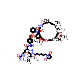 CC(=O)O[C@@H]1[C@H](C)C/C=C/O[C@@]2(C)Oc3c(C)c(O)c4c(=O)c(c5oc6cccc(OCc7ccc(NC(=O)[C@H](CCCNC(N)=O)NC(=O)[C@@H](NC(=O)CCCCCN8C(=O)C=CC8=O)C(C)C)cc7)c6nc-5c4c3C2=O)NC(=O)/C(C)=C\C=C\[C@H](C)C[C@@H](C)C[C@H]1C